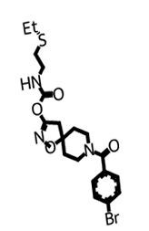 CCSCCNC(=O)OC1=NOC2(CCN(C(=O)c3ccc(Br)cc3)CC2)C1